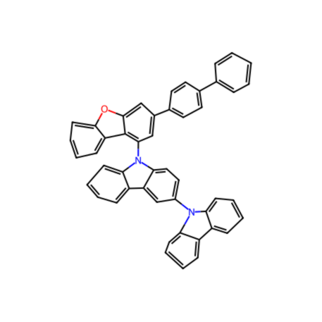 c1ccc(-c2ccc(-c3cc(-n4c5ccccc5c5cc(-n6c7ccccc7c7ccccc76)ccc54)c4c(c3)oc3ccccc34)cc2)cc1